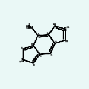 CC(C)(C)c1c2c(cc3cscc13)C=S=C2